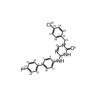 O=C1NC(Nc2ccc(-c3ccc(F)cc3)cc2)N=CN1Cc1ccc(Cl)cc1